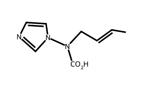 CC=CCN(C(=O)O)n1ccnc1